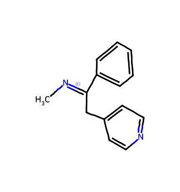 C/N=C(\Cc1ccncc1)c1ccccc1